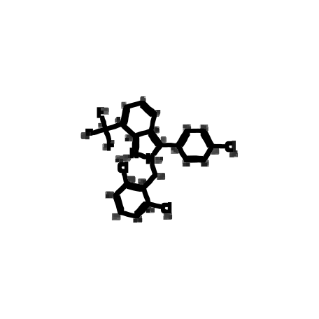 FC(F)(F)c1cccc2c(-c3ccc(Cl)cc3)n(Cc3c(Cl)cccc3Cl)nc12